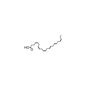 CC/C=C\C/C=C/C/C=C/C/C=C\C/C=C\C/C=C\CCC(=O)O